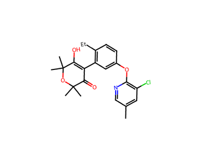 CCc1ccc(Oc2ncc(C)cc2Cl)cc1C1=C(O)C(C)(C)OC(C)(C)C1=O